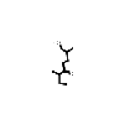 CCC(C)C(=O)CCC(C)CO